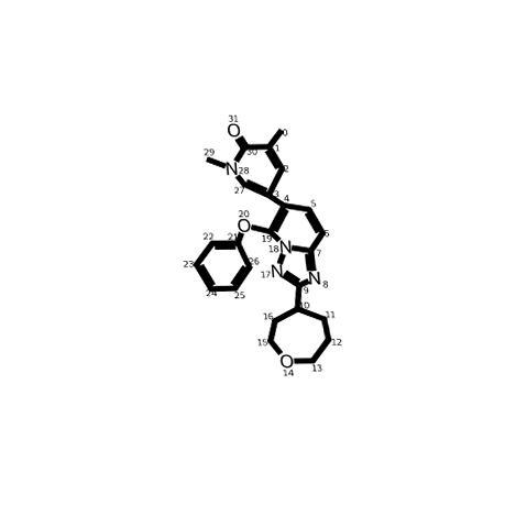 Cc1cc(-c2ccc3nc(C4CCCOCC4)nn3c2Oc2ccccc2)cn(C)c1=O